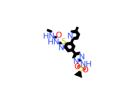 CCNC(=O)Nc1nc2cc(-c3cnc(NS(=O)(=O)C4CC4)nc3)cc(-c3ccc(C)cn3)c2s1